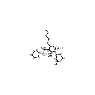 CCCCCc1cc(O)c(C2C=C(C)CCC2)c(O)c1C(=O)NC1CCCCC1